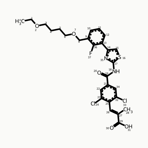 CCOCCCCOCc1cccc(-c2csc(NC(=O)c3cc(Cl)c(C=C(C)C(=O)O)c(Cl)c3)n2)c1F